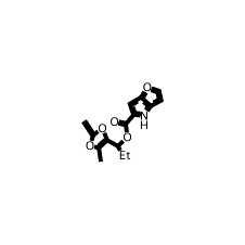 C=C1OC(C)=C(C(CC)OC(=O)c2cc3occc3[nH]2)O1